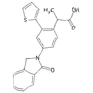 CC(C(=O)O)c1ccc(N2Cc3ccccc3C2=O)cc1-c1cccs1